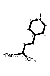 CCCCCC(C)CCC1CCNCC1